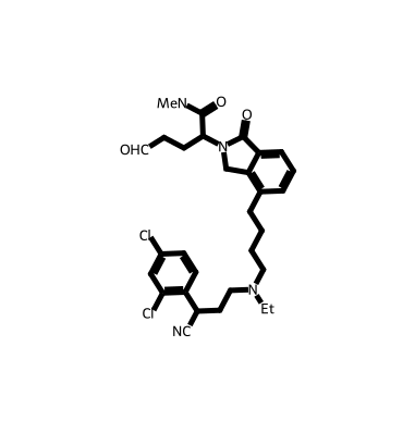 CCN(CCCCc1cccc2c1CN(C(CCC=O)C(=O)NC)C2=O)CCC(C#N)c1ccc(Cl)cc1Cl